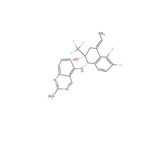 C/C=C1\C[C@](O)(C(F)(F)F)[C@@H](Nc2cccc3nc(C)ncc23)c2ccc(F)c(F)c21